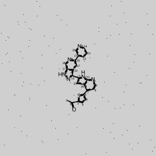 CC(=O)c1ccc(-c2ccnc3[nH]c(-c4n[nH]c5cnc(-c6cccnc6)cc45)cc23)s1